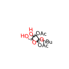 CCCCO[C@@H]1[C@@H](OC(C)=O)O[C@H](CO)[C@@H](O)[C@@H]1OC(C)=O